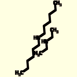 CCCCCCNCCCCCC.CCNCC